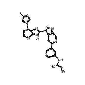 Cc1cn(-c2ccnc3[nH]c(-c4n[nH]c5cnc(-c6cncc(NC(O)CC(C)C)c6)cc45)nc23)cn1